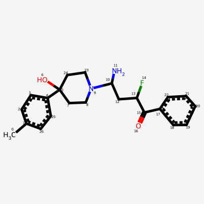 Cc1ccc(C2(O)CCN(C(N)CC(F)C(=O)c3ccccc3)CC2)cc1